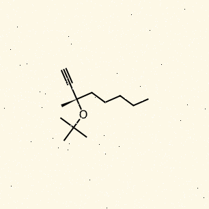 C#C[C@](C)(CCCCC)OC(C)(C)C